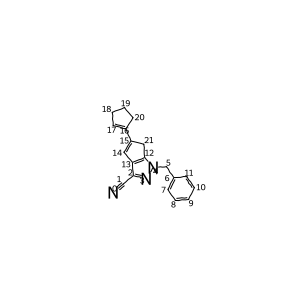 N#Cc1nn(Cc2ccccc2)c2c1C=C(C1=CCCC1)C2